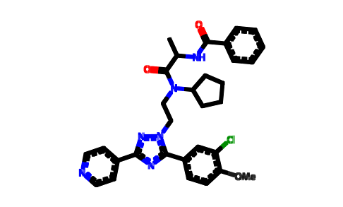 COc1ccc(-c2nc(-c3ccncc3)nn2CCN(C(=O)C(C)NC(=O)c2ccccc2)C2CCCC2)cc1Cl